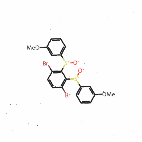 COc1cccc([S+]([O-])c2c(Br)ccc(Br)c2[S+]([O-])c2cccc(OC)c2)c1